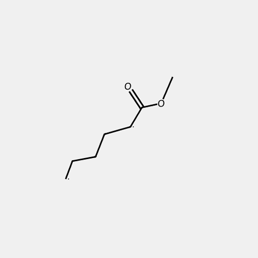 [CH2]CCC[CH]C(=O)OC